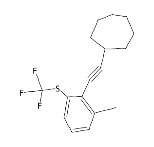 Cc1cccc(SC(F)(F)F)c1C#CC1CCCCCC1